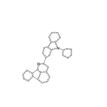 c1ccc(-n2c3ccccc3c3ccc(-c4cc5cccc6c5c(n4)-c4ccccc4-6)cc32)cc1